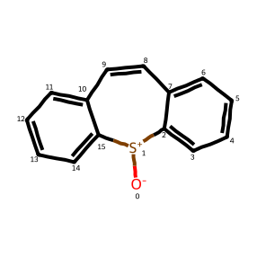 [O-][S+]1c2ccccc2C=Cc2ccccc21